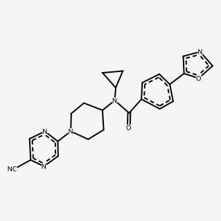 N#Cc1cnc(N2CCC(N(C(=O)c3ccc(-c4cnco4)cc3)C3CC3)CC2)cn1